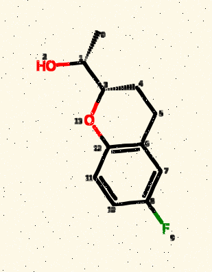 C[C@@H](O)[C@@H]1CCc2cc(F)ccc2O1